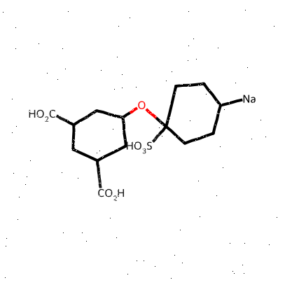 O=C(O)C1CC(OC2(S(=O)(=O)O)CC[CH]([Na])CC2)CC(C(=O)O)C1